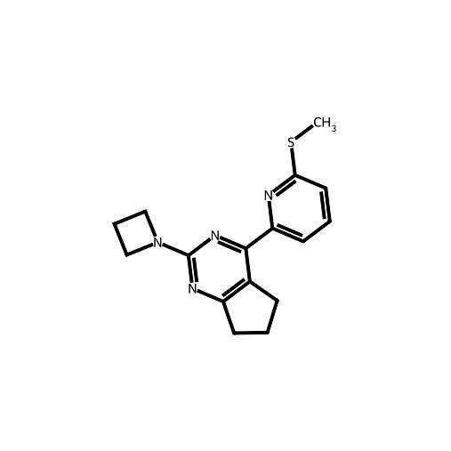 CSc1cccc(-c2nc(N3CCC3)nc3c2CCC3)n1